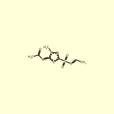 C/C=N/S(=O)(=O)c1nn(C)/c(=N\C(C)=O)s1